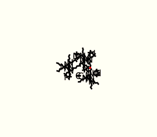 C=C=C=CN(CCCC)c1nc(N(CCCC)CCCC)nc(N(CCCCCCN(c2nc(N(CCCC)C3CC(C)(C)N(C)C(C)(C)C3)nc(N(CCCCCCN(c3nc(N(CCCC)CCCC)nc(N(CCCC)CCCC)n3)C3CC(C)(C)N(C)C(C)(C)C3)C3CC(C)(C)N(C)C(C)(C)C3)n2)C2CC(C)(C)N(C)C(C)(C)C2)C2CC(C)(C)N(C)C(C)(C)C2)n1